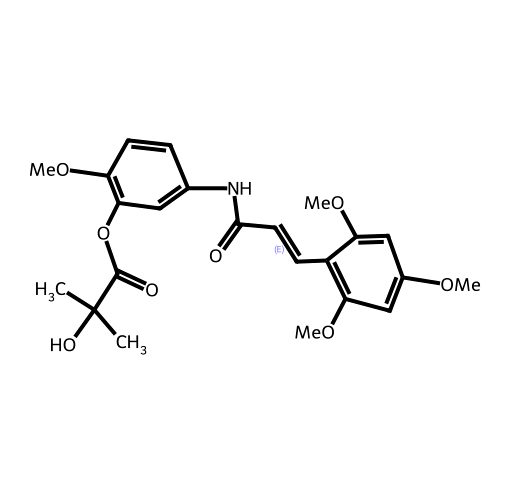 COc1cc(OC)c(/C=C/C(=O)Nc2ccc(OC)c(OC(=O)C(C)(C)O)c2)c(OC)c1